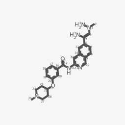 CN(N)/C=C(\N)c1ccc2cnc(NC(=O)c3cccc(OC4CCN(C)CC4)c3)cc2c1